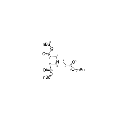 CCCCOC(=O)CCN(CCC(=O)OCCCC)CCC(=O)OCCCC